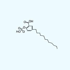 CCCCCCCCCCCCc1ccc(OS(=O)(=O)O)c(C(=O)O)c1